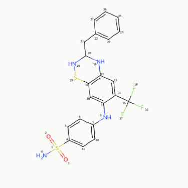 NS(=O)(=O)c1ccc(Nc2cc3c(cc2C(F)(F)F)NC(Cc2ccccc2)NS3)cc1